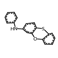 c1ccc(Nc2ccc3c(c2)Oc2ccccc2S3)cc1